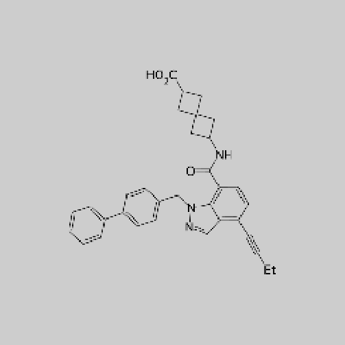 CCC#Cc1ccc(C(=O)NC2CC3(C2)CC(C(=O)O)C3)c2c1cnn2Cc1ccc(-c2ccccc2)cc1